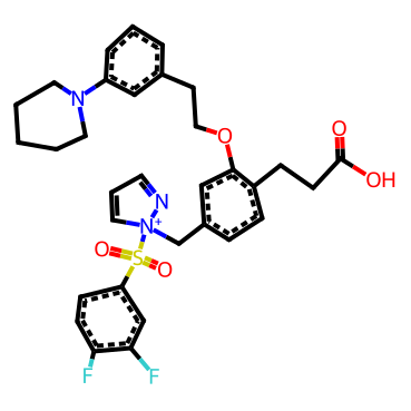 O=C(O)CCc1ccc(C[N+]2(S(=O)(=O)c3ccc(F)c(F)c3)C=CC=N2)cc1OCCc1cccc(N2CCCCC2)c1